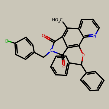 O=C(O)c1c2c(c(OC(c3ccccc3)c3ccccc3)c3ncccc13)C(=O)N(Cc1ccc(Cl)cc1)C2=O